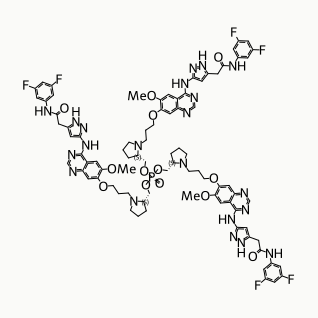 COc1cc2c(Nc3cc(CC(=O)Nc4cc(F)cc(F)c4)[nH]n3)ncnc2cc1OCCCN1CCC[C@H]1COP(=O)(OC[C@@H]1CCCN1CCCOc1cc2ncnc(Nc3cc(CC(=O)Nc4cc(F)cc(F)c4)[nH]n3)c2cc1OC)OC[C@@H]1CCCN1CCCOc1cc2ncnc(Nc3cc(CC(=O)Nc4cc(F)cc(F)c4)[nH]n3)c2cc1OC